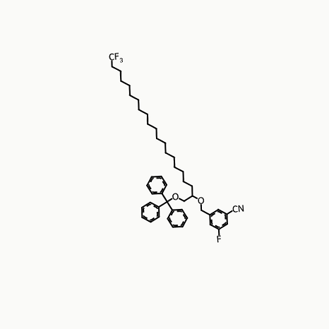 N#Cc1cc(F)cc(COC(CCCCCCCCCCCCCCCCCCC(F)(F)F)COC(c2ccccc2)(c2ccccc2)c2ccccc2)c1